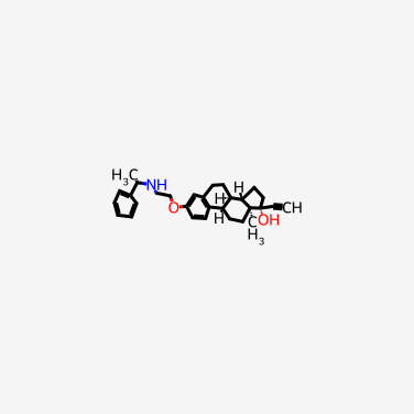 C#C[C@]1(O)CC[C@H]2[C@@H]3CCc4cc(OCCNC(C)c5ccccc5)ccc4[C@H]3CC[C@@]21C